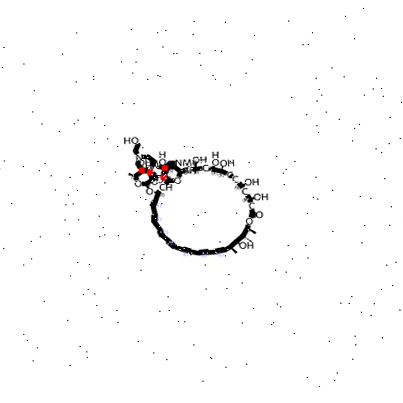 CNCC(=O)N[C@@H]1[C@H](O)[C@@H](O[C@H]2/C=C/C=C/C=C/C=C/C=C/C=C/C=C/[C@H](C)[C@@H](O)[C@@H](C)[C@H](C)OC(=O)C[C@H](O)C[C@H](O)CC[C@@H](O)[C@H](O)C[C@H](O)C[C@]3(O)C[C@H](O)[C@@H](C(=O)N4CCN(CCO)CC4)[C@H](C2)O3)O[C@@H](C)[C@H]1O